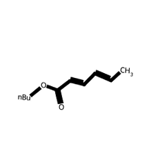 CC=CC=CC(=O)OCCCC